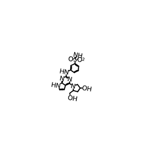 NS(=O)(=O)c1cccc(Nc2nc(N3CC(O)CC3CO)c3cc[nH]c3n2)c1